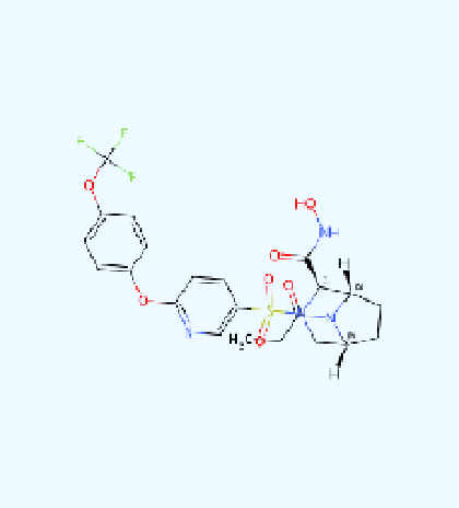 CCC(=O)N1[C@@H]2CC[C@H]1[C@H](C(=O)NO)N(S(=O)(=O)c1ccc(Oc3ccc(OC(F)(F)F)cc3)nc1)C2